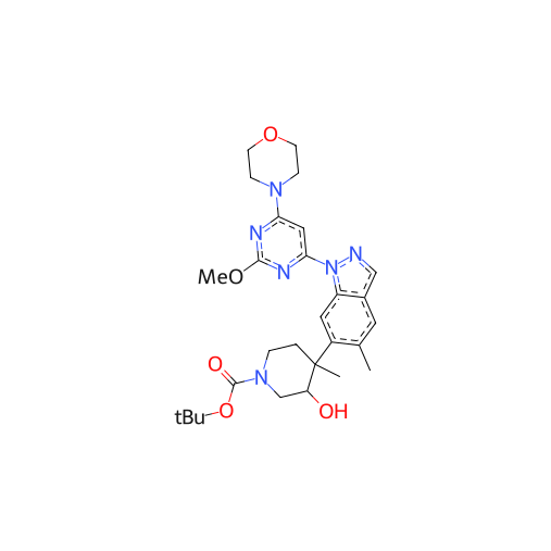 COc1nc(N2CCOCC2)cc(-n2ncc3cc(C)c(C4(C)CCN(C(=O)OC(C)(C)C)CC4O)cc32)n1